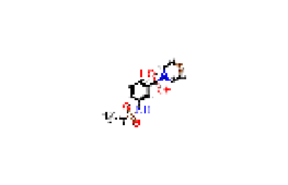 CCS(=O)(=O)Nc1cccc(C(O)(O)N2CCSCC2)c1